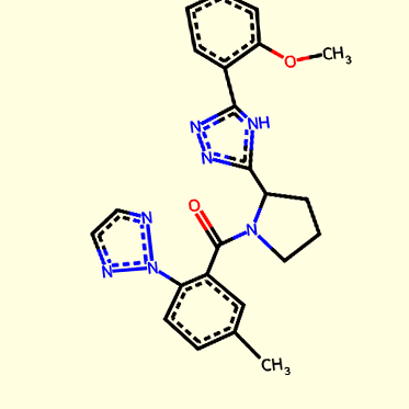 COc1ccccc1-c1nnc(C2CCCN2C(=O)c2cc(C)ccc2-n2nccn2)[nH]1